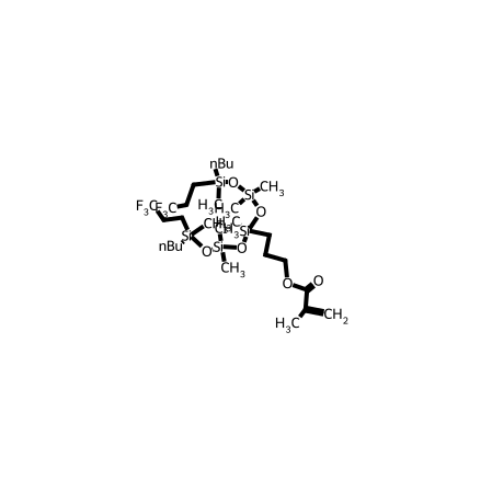 C=C(C)C(=O)OCCC[Si](C)(O[Si](C)(C)O[Si](C)(CCCC)CCC(F)(F)F)O[Si](C)(C)O[Si](C)(CCCC)CCC(F)(F)F